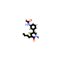 C=Cc1cc2c(=O)n(C)cc(-c3cccc(NC(C)=O)c3)c2s1